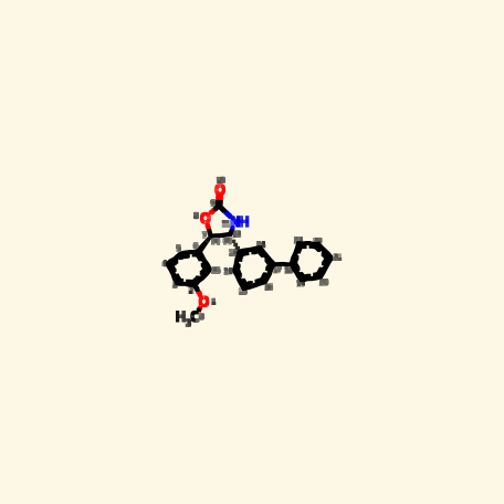 COc1cccc([C@H]2OC(=O)N[C@@H]2c2cccc(-c3ccccc3)c2)c1